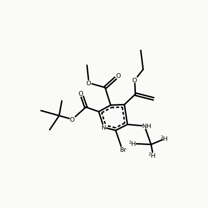 [2H]C([2H])([2H])Nc1c(Br)nc(C(=O)OC(C)(C)C)c(C(=O)OC)c1C(=C)OCC